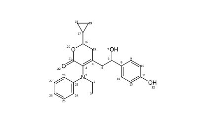 CCN(C1=C(CC(O)c2ccc(O)cc2)CC(C2CC2)OC1=O)c1ccccc1